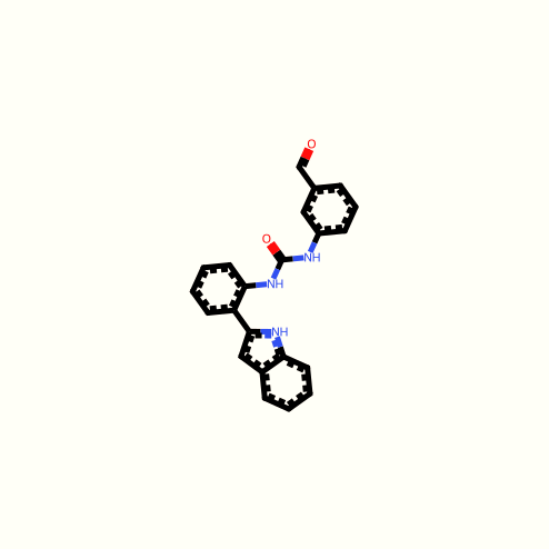 O=Cc1cccc(NC(=O)Nc2ccccc2-c2cc3ccccc3[nH]2)c1